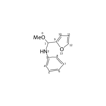 COC(Nc1ccccc1)c1ccco1